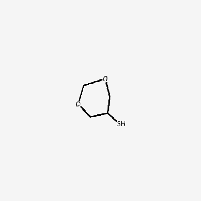 SC1COCOC1